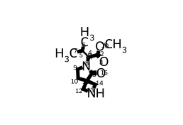 COC(=O)[C@H](C(C)C)N1CCC2(CNC2)C1=O